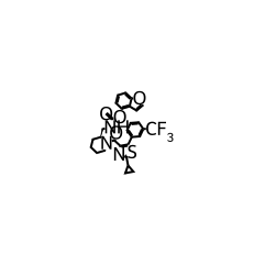 O=C(NC[C@@H]1CCCCN1C(=O)c1nc(C2CC2)sc1-c1cccc(C(F)(F)F)c1)Oc1cccc2occc12